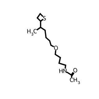 CC(=O)NCCCCOCCCCC(C)C1CCS1